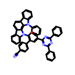 N#Cc1ccc(-c2cc(-c3nc(-c4ccccc4)nc(-c4ccccc4)n3)ccc2-n2c3ccccc3c3ccc4c5ccccc5n(-c5ccccc5)c4c32)cc1